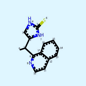 CC(c1c[nH]c(=S)[nH]1)c1nccc2ccccc12